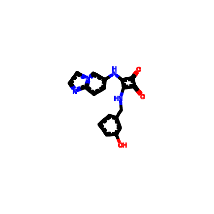 O=c1c(NCc2cccc(O)c2)c(Nc2ccc3nccn3c2)c1=O